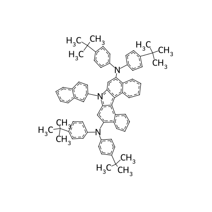 CC(C)(C)c1ccc(N(c2ccc(C(C)(C)C)cc2)c2cc3c(c4ccccc24)c2c4ccccc4c(N(c4ccc(C(C)(C)C)cc4)c4ccc(C(C)(C)C)cc4)cc2n3-c2ccc3ccccc3c2)cc1